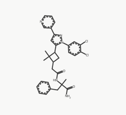 CC(Cc1ccccc1)(NC(=O)CC1CC(c2cc(-c3cccnc3)nn2-c2ccc(Cl)c(Cl)c2)C1(C)C)C(N)=O